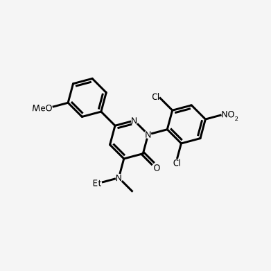 CCN(C)c1cc(-c2cccc(OC)c2)nn(-c2c(Cl)cc([N+](=O)[O-])cc2Cl)c1=O